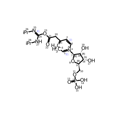 C=C(/C=C\[N+](=C/C)[C@@H]1O[C@H](COP(=O)(O)O)[C@@H](O)[C@H]1O)CC(=O)O/C(=N/C(C)C)NC(C)C